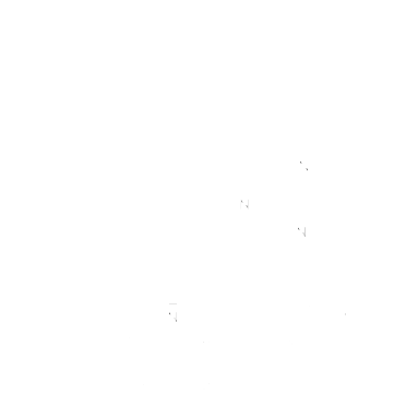 Cc1cccc(C)c1NC(=O)c1cc(Nc2nc(-c3ccccc3)c3ccccc3n2)c(Cl)s1